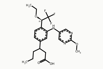 CCCC(CC(=O)O)c1ccc([C@@H](OCC)C(F)(F)F)c(Nc2cnc(OC)nc2)c1